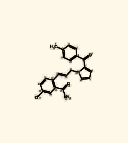 Cc1ccc(C(=O)c2cccn2C/C=C/c2ccc(Cl)cc2C(N)=O)cc1